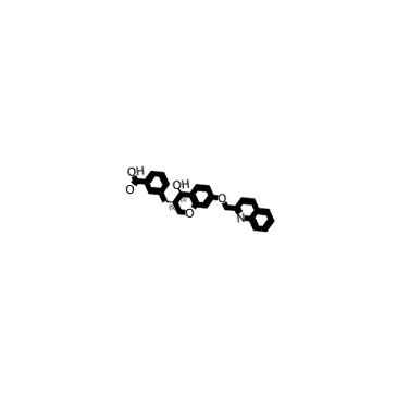 O=C(O)c1cccc(C[C@H]2COc3cc(OCc4ccc5ccccc5n4)ccc3[C@H]2O)c1